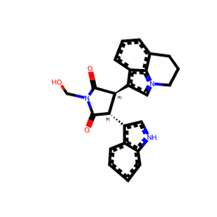 O=C1[C@@H](c2c[nH]c3ccccc23)[C@H](c2cn3c4c(cccc24)CCC3)C(=O)N1CO